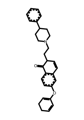 O=C1c2ccc(OC3=CCCC=C3)cc2C=CC1CCN1CCC(c2ccccc2)CC1